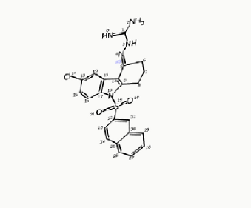 N=C(N)N/N=C1\CCCc2c1c1cc(Cl)ccc1n2S(=O)(=O)c1ccc2ccccc2c1